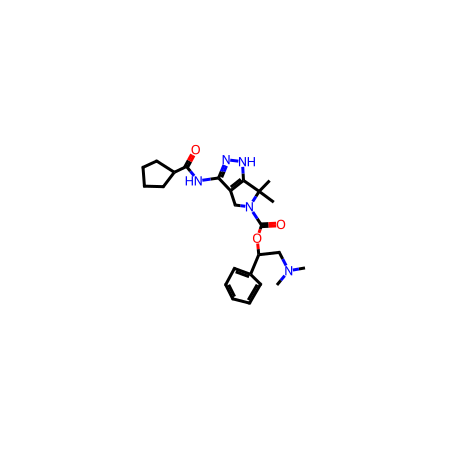 CN(C)CC(OC(=O)N1Cc2c(NC(=O)C3CCCC3)n[nH]c2C1(C)C)c1ccccc1